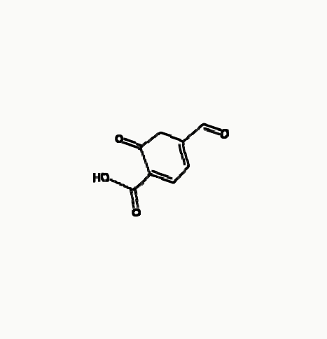 O=CC1=CC=C(C(=O)O)C(=O)C1